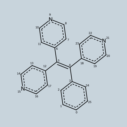 c1ccc(C(=C(c2ccncc2)c2ccncc2)c2ccncc2)cc1